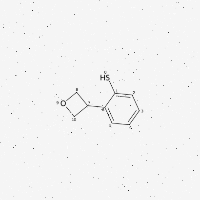 Sc1ccccc1C1COC1